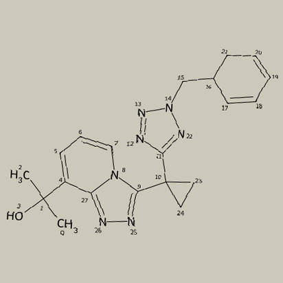 CC(C)(O)c1cccn2c(C3(c4nnn(CC5C=CC=CC5)n4)CC3)nnc12